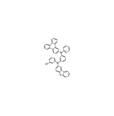 Clc1cccc(N(c2cccc(N(c3ccccc3)c3ccc4c5ccccc5c5ccccc5c4c3)c2)c2ccc3sc4ccccc4c3c2)c1